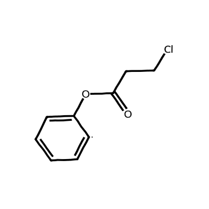 O=C(CCCl)Oc1[c]cccc1